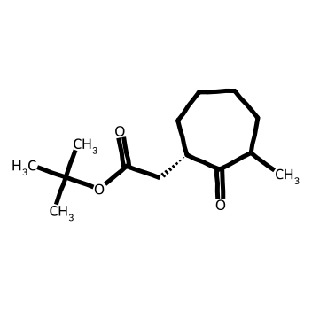 CC1CCCC[C@@H](CC(=O)OC(C)(C)C)C1=O